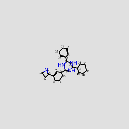 C1=CC(C2NC(C3C=C(C4=NCC4)CCC3)NC(C3CCCCC3)N2)=CCC1